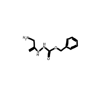 C=C(CN)NNC(=O)OCc1ccccc1